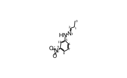 CCC=NNc1cccc([N+](=O)[O-])c1